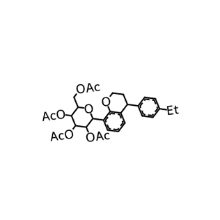 CCc1ccc(C2CCOc3c2cccc3C2OC(COC(C)=O)C(OC(C)=O)C(OC(C)=O)C2OC(C)=O)cc1